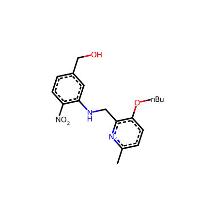 CCCCOc1ccc(C)nc1CNc1cc(CO)ccc1[N+](=O)[O-]